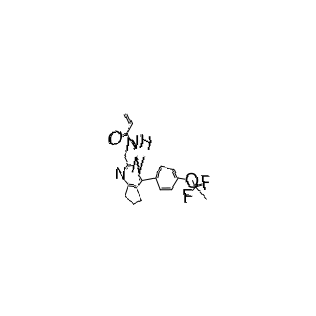 C=CC(=O)NCc1nc2c(c(-c3ccc(OC(C)(F)F)cc3)n1)CCC2